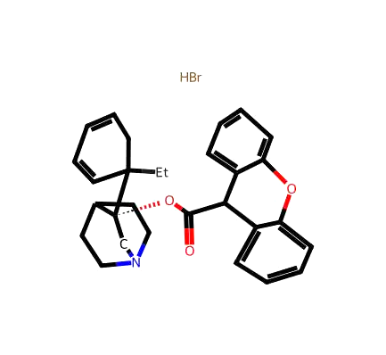 Br.CCC1([C@@]2(OC(=O)C3c4ccccc4Oc4ccccc43)CN3CCC2CC3)C=CC=CC1